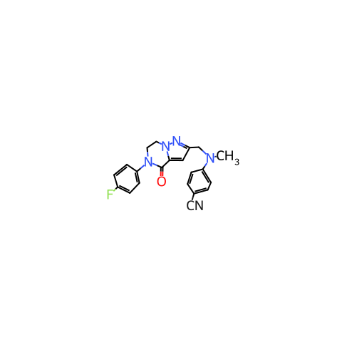 CN(Cc1cc2n(n1)CCN(c1ccc(F)cc1)C2=O)c1ccc(C#N)cc1